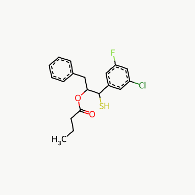 CCCC(=O)OC(Cc1ccccc1)C(S)c1cc(F)cc(Cl)c1